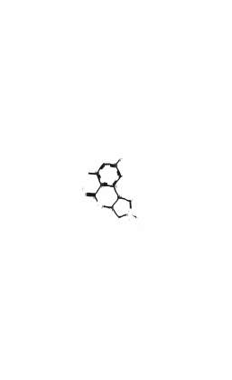 CCc1cc(C)c2c(c1)C1CN(C(=O)O)CC1NC2=O